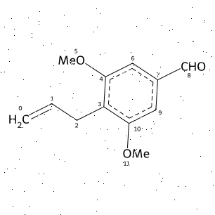 C=CCc1c(OC)cc(C=O)cc1OC